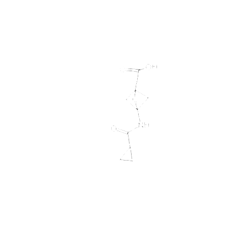 O=C(NC12CC(C(=O)O)(C1)C2)C1CC1